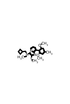 CCN(CC1CCC1)c1c(SC)nc2c(-c3c(OC)cc(C)cc3OC)cccn12